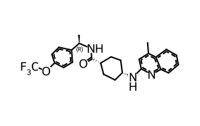 Cc1cc(N[C@H]2CC[C@@H](C(=O)N[C@H](C)c3ccc(OC(F)(F)F)cc3)CC2)nc2ccccc12